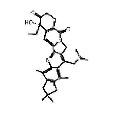 CC[C@@]1(O)C(=O)CCc2c1cc1n(c2=O)Cc2c-1nc1c(C)c3c(c(C)c1c2CN(C)C)CC(C)(C)C3